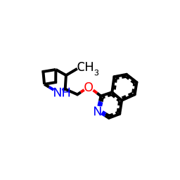 CC1C2CC(C2)NC1COc1nccc2ccccc12